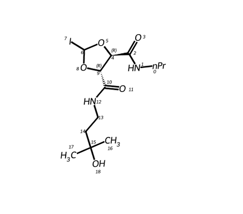 CCCNC(=O)[C@@H]1OC(I)O[C@H]1C(=O)NCCC(C)(C)O